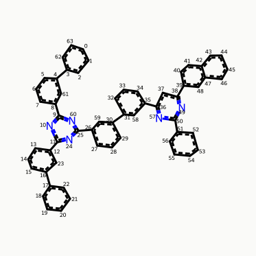 c1ccc(-c2cccc(-c3nc(-c4cccc(-c5ccccc5)c4)nc(-c4cccc(-c5cccc(-c6cc(-c7ccc8ccccc8c7)nc(-c7ccccc7)n6)c5)c4)n3)c2)cc1